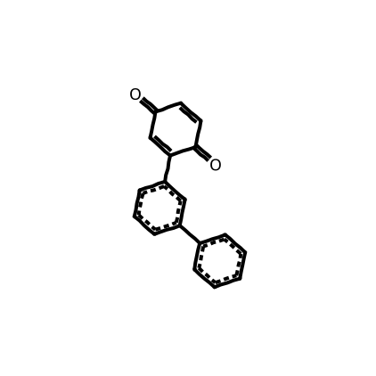 O=C1C=CC(=O)C(c2cccc(-c3ccccc3)c2)=C1